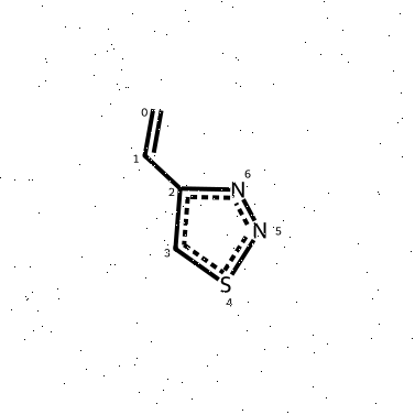 C=Cc1csnn1